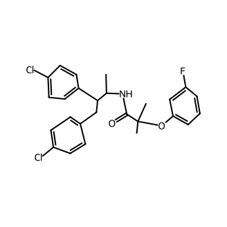 CC(NC(=O)C(C)(C)Oc1cccc(F)c1)C(Cc1ccc(Cl)cc1)c1ccc(Cl)cc1